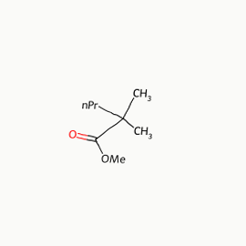 [CH]OC(=O)C(C)(C)CCC